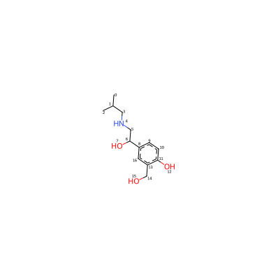 CC(C)CNCC(O)c1ccc(O)c(CO)c1